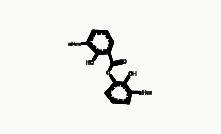 CCCCCCc1cccc(OC(=O)c2cccc(CCCCCC)c2O)c1O